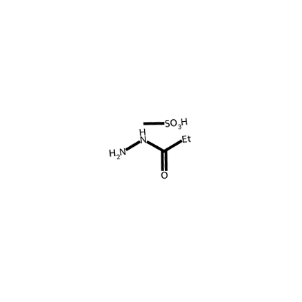 CCC(=O)NN.CS(=O)(=O)O